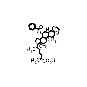 C[C@H](CCC[C@@H](C)[C@H]1CCC2C3C(CC[C@@]21C)[C@@]1(C)CCC2(C[C@@H]1C[C@H]3OC(=O)c1ccccc1)OCCO2)C(=O)O